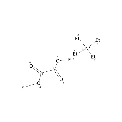 CC[N+](CC)(CC)CC.O=C(OF)C(=O)OF